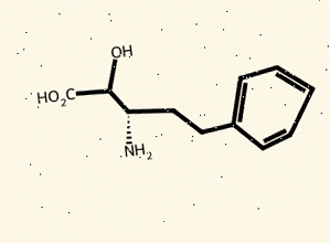 N[C@@H](CCc1ccccc1)C(O)C(=O)O